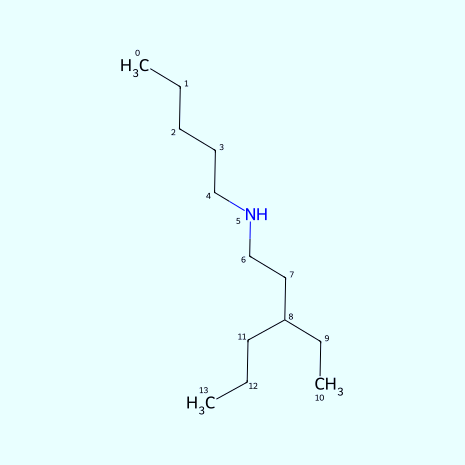 CCCCCNCCC(CC)CCC